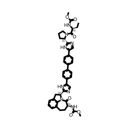 CC[C@H](NC(=O)OC)C(=O)N1CCC[C@H]1c1ncc(-c2ccc(-c3ccc(-c4cnc([C@@H]5Cc6cccc7c6N5C(=O)[C@@H](NC(=O)OC)CC7)[nH]4)cc3)cc2)[nH]1